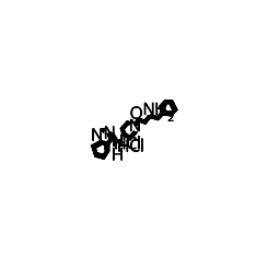 Cl.Cl.NC(CC(=O)N1CCC(Nc2ncnc3ccccc23)CC1)Cc1ccccc1